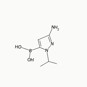 CC(C)n1nc(N)cc1B(O)O